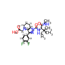 CNC(=O)C(NC(=O)n1nc(-c2ccc(F)c(F)c2)c2c1CCCN2CC(=O)O)C(C)(C)C